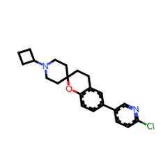 Clc1ccc(-c2ccc3c(c2)CCC2(CCN(C4CCC4)CC2)O3)cn1